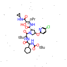 CCC[C@H](NC(=O)[C@@H]1C[C@@H](Oc2ccc(Cl)cn2)CN1C(=O)[C@@H](NC(=O)[C@@H](NC(=O)OC(C)(C)C)C1CCCCC1)C(C)(C)C)C(O)C(=O)NC1CC1